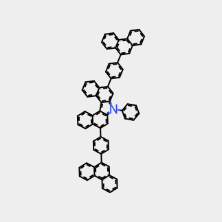 c1ccc(-n2c3cc(-c4ccc(-c5cc6ccccc6c6ccccc56)cc4)c4ccccc4c3c3c4ccccc4c(-c4ccc(-c5cc6ccccc6c6ccccc56)cc4)cc32)cc1